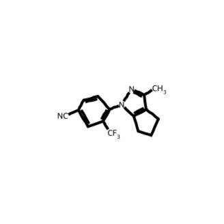 Cc1nn(-c2ccc(C#N)cc2C(F)(F)F)c2c1CCC2